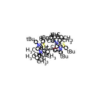 Cc1cc2c3c(c1)N(c1ccc(C(C)(C)C)cc1)c1c(sc4ccc(C(C)(C)C)cc14)B3c1cc3c(cc1N2c1cc2c(cc1C)C(C)(C)CCC2(C)C)C(C)(C)CCC3(C)CCC(C)(C)c1cc2c3c(c1)N(c1ccc(C(C)(C)C)cc1-c1ccccc1)c1c(sc4ccc(C(C)(C)C)cc14)B3c1cc3c(cc1N2c1ccc2c(c1)C(C)(C)CCC2(C)C)C(C)(C)CCC3(C)C